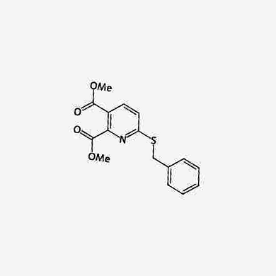 COC(=O)c1ccc(SCc2ccccc2)nc1C(=O)OC